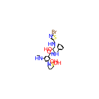 CCNc1cc(C(=O)N[C@@H](Cc2ccccc2)[C@@H](O)CNCc2cnc(Br)s2)cc(N2CCCCS2(O)O)c1